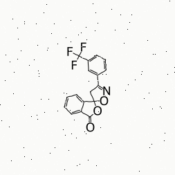 O=C1OC2(CC(c3cccc(C(F)(F)F)c3)=NO2)c2ccccc21